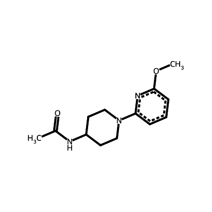 COc1cccc(N2CCC(NC(C)=O)CC2)n1